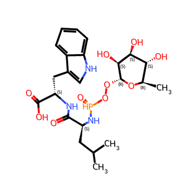 CC(C)C[C@H](N[PH](=O)OO[C@H]1O[C@H](C)[C@@H](O)[C@H](O)[C@@H]1O)C(=O)N[C@@H](Cc1c[nH]c2ccccc12)C(=O)O